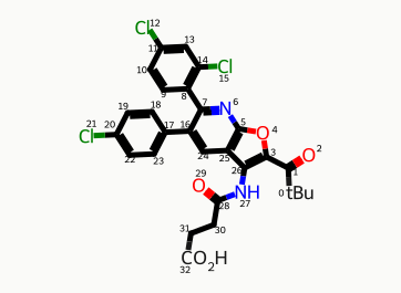 CC(C)(C)C(=O)c1oc2nc(-c3ccc(Cl)cc3Cl)c(-c3ccc(Cl)cc3)cc2c1NC(=O)CCC(=O)O